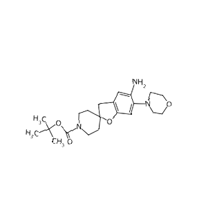 CC(C)(C)OC(=O)N1CCC2(CC1)Cc1cc(N)c(N3CCOCC3)cc1O2